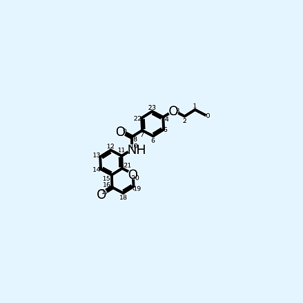 CCCOc1ccc(C(=O)Nc2cccc3c(=O)c[c]oc23)cc1